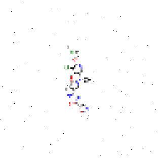 CC(c1cnc(OCC(C)(F)F)c(Cl)c1)N1Cc2c(ccnc2NC(=O)c2cnco2)C1=O